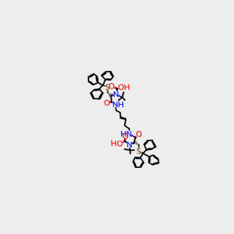 CC(C)(C)N(C(=O)O)[C@@H](CSC(c1ccccc1)(c1ccccc1)c1ccccc1)C(=O)NCCC=CCCNC(=O)[C@H](CSC(c1ccccc1)(c1ccccc1)c1ccccc1)N(C(=O)O)C(C)(C)C